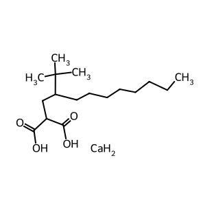 CCCCCCCCC(CC(C(=O)O)C(=O)O)C(C)(C)C.[CaH2]